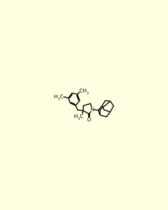 Cc1cc(C)cc(CC2(C)CCN(C3C4CC5CC(C4)CC3C5)C2=O)c1